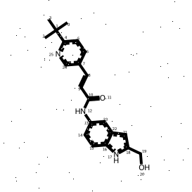 CC(C)(C)c1ccc(/C=C/C(=O)Nc2ccc3[nH]c(CO)cc3c2)cn1